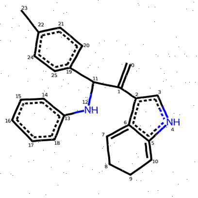 C=C(c1c[nH]c2c1=CCCC=2)C(Nc1ccccc1)c1ccc(C)cc1